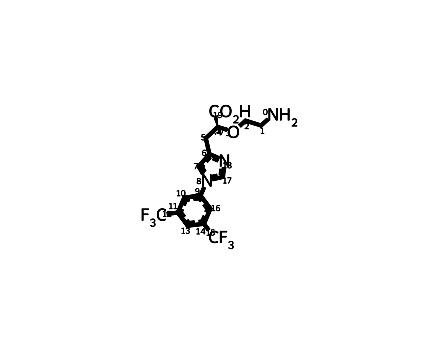 NCCO[C@@H](Cc1cn(-c2cc(C(F)(F)F)cc(C(F)(F)F)c2)cn1)C(=O)O